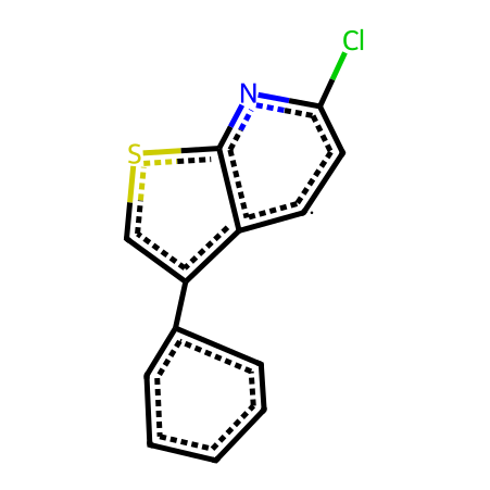 Clc1c[c]c2c(-c3ccccc3)csc2n1